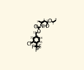 CCOC(=O)/C=C(/C)NC(=O)OCc1ccc(C(F)(F)F)c(Cl)c1